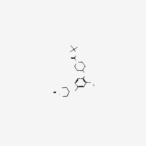 COc1cc(C[C@H]2CO[S@@](=O)OC2)ccc1OC1CCN(C(=O)OC(C)(C)C)CC1